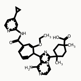 CCOC1=CC(C(=O)Nc2cc(C3CC3)ccn2)=CC#CC1c1nc(C2(C)CCC(C)(C(=O)O)CC2)n2ccnc(N)c12